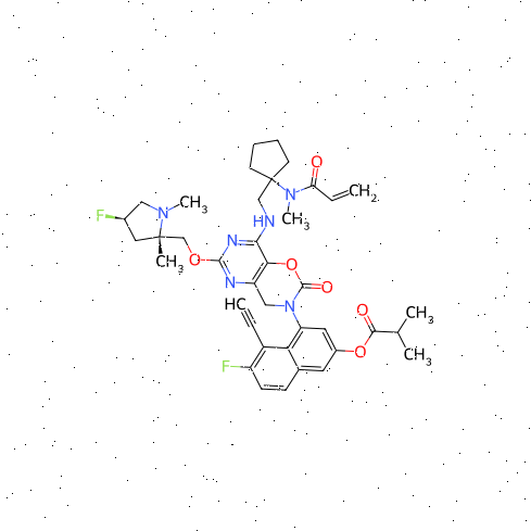 C#Cc1c(F)ccc2cc(OC(=O)C(C)C)cc(N3Cc4nc(OC[C@]5(C)C[C@@H](F)CN5C)nc(NCC5(N(C)C(=O)C=C)CCCC5)c4OC3=O)c12